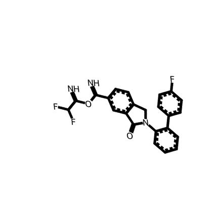 N=C(OC(=N)C(F)F)c1ccc2c(c1)C(=O)N(c1ccccc1-c1ccc(F)cc1)C2